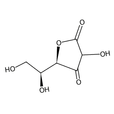 O=C1O[C@H]([C@@H](O)CO)C(=O)C1O